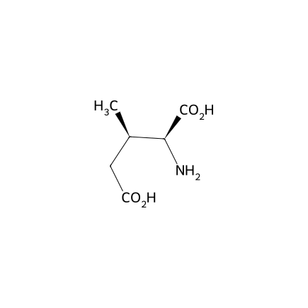 C[C@H](CC(=O)O)[C@H](N)C(=O)O